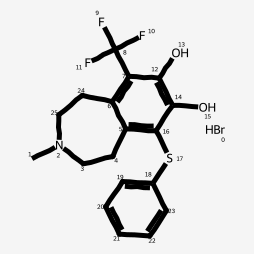 Br.CN1CCc2c(c(C(F)(F)F)c(O)c(O)c2Sc2ccccc2)CC1